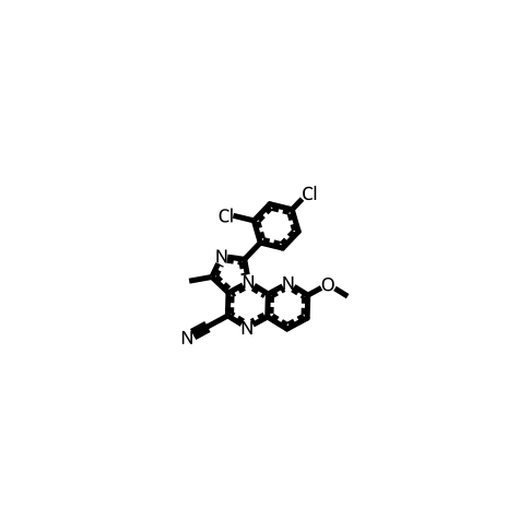 COc1ccc2nc(C#N)c3c(C)nc(-c4ccc(Cl)cc4Cl)n3c2n1